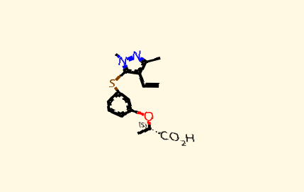 C=Cc1c(C)nn(C)c1Sc1cccc(O[C@@H](C)C(=O)O)c1